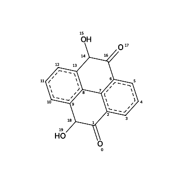 O=C1c2cccc3c2-c2c(cccc2C(O)C3=O)C1O